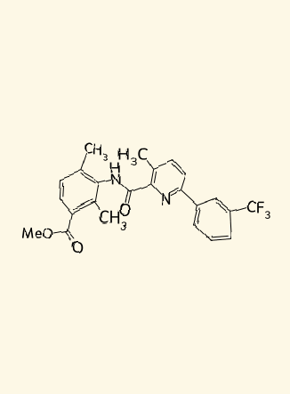 COC(=O)c1ccc(C)c(NC(=O)c2nc(-c3cccc(C(F)(F)F)c3)ccc2C)c1C